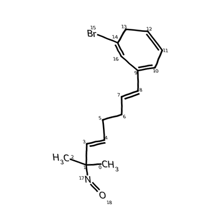 CC(C)(/C=C/CC/C=C/C1=CC=CCC(Br)=C1)N=O